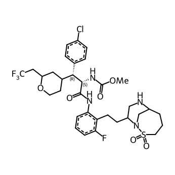 COC(=O)N[C@H](C(=O)Nc1cccc(F)c1CCC1CNC2CCCS(=O)(=O)N1C2)[C@@H](c1ccc(Cl)cc1)C1CCOC(CC(F)(F)F)C1